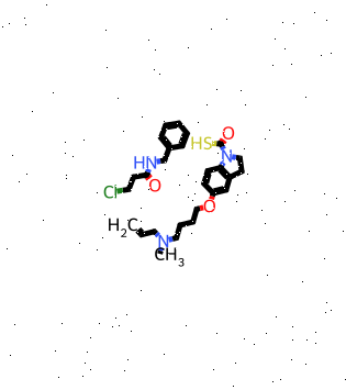 C=CCN(C)CCCCOc1ccc2c(c1)CCN2C(=O)S.O=C(CCCl)NCc1ccccc1